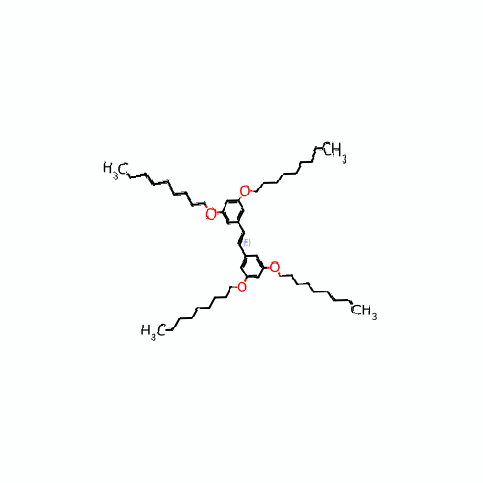 CCCCCCCCCOc1cc(/C=C/c2cc(OCCCCCCCCC)cc(OCCCCCCCCC)c2)cc(OCCCCCCCCC)c1